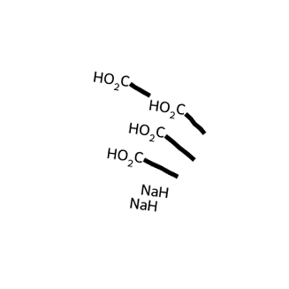 CC(=O)O.CC(=O)O.CC(=O)O.CC(=O)O.[NaH].[NaH]